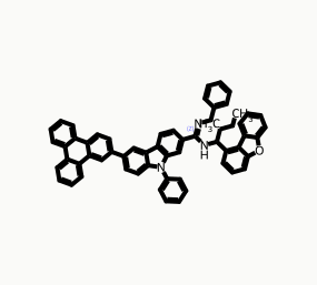 CCC(C)C(N/C(=N\Cc1ccccc1)c1ccc2c3cc(-c4ccc5c6ccccc6c6ccccc6c5c4)ccc3n(-c3ccccc3)c2c1)c1cccc2oc3ccccc3c12